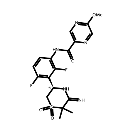 COc1cnc(C(=O)Nc2ccc(F)c([C@@H]3CS(=O)(=O)C(C)(C)C(=N)N3)c2F)cn1